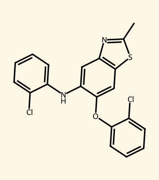 Cc1nc2cc(Nc3ccccc3Cl)c(Oc3ccccc3Cl)cc2s1